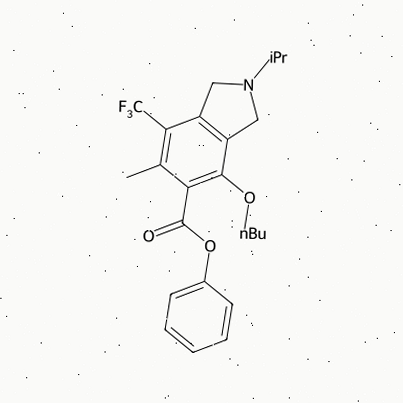 CCCCOc1c2c(c(C(F)(F)F)c(C)c1C(=O)Oc1ccccc1)CN(C(C)C)C2